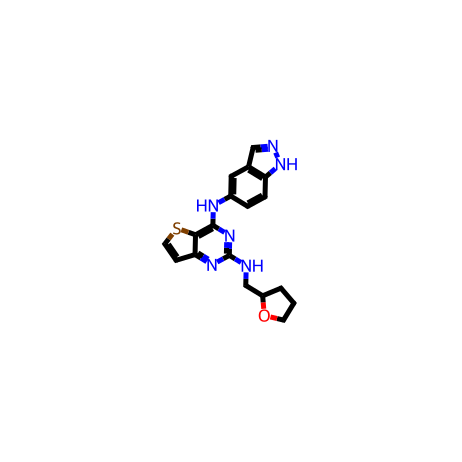 c1cc2nc(NCC3CCCO3)nc(Nc3ccc4[nH]ncc4c3)c2s1